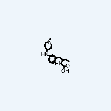 CCC(Cc1cccc(NC2CCN(C)CC2)c1)NC(=O)O